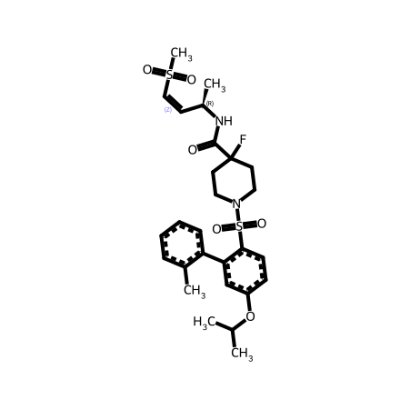 Cc1ccccc1-c1cc(OC(C)C)ccc1S(=O)(=O)N1CCC(F)(C(=O)N[C@H](C)/C=C\S(C)(=O)=O)CC1